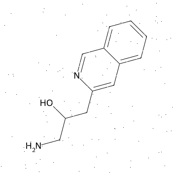 NCC(O)Cc1cc2ccccc2cn1